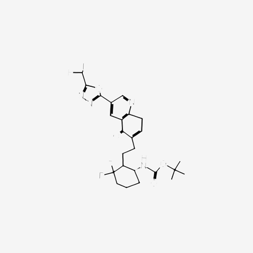 CC(C)(C)OC(=O)N[C@H]1CCCC(F)(F)C1CCC1=CCc2ncc(-c3nnc(C(F)F)o3)cc2C1=O